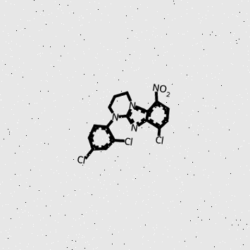 O=[N+]([O-])c1ccc(Cl)c2nc3n(c12)CCCN3c1ccc(Cl)cc1Cl